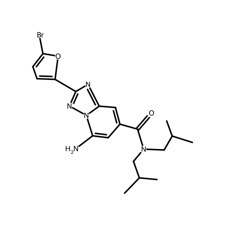 CC(C)CN(CC(C)C)C(=O)c1cc(N)n2nc(-c3ccc(Br)o3)nc2c1